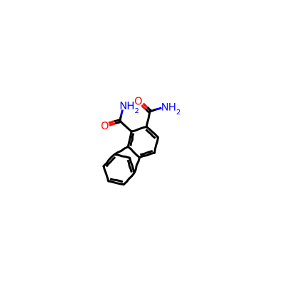 NC(=O)c1ccc2c(c1C(N)=O)-c1cccc-2c1